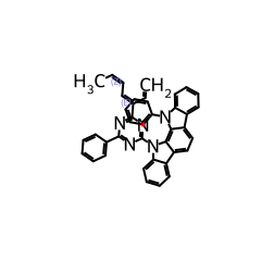 C=C/C(=C\C=C/C)c1nc(-c2ccccc2)nc(-n2c3ccccc3c3ccc4c5ccccc5n(-c5ccccc5)c4c32)n1